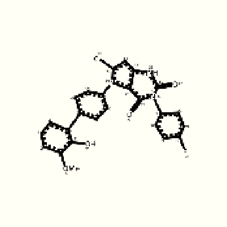 COc1cccc(-c2ccc(-n3c(Cl)cc4[nH]c(=O)n(-c5ccc(F)cc5)c(=O)c43)cc2)c1O